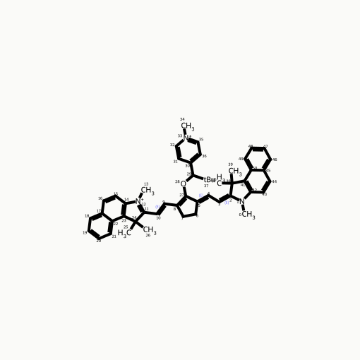 CN1/C(=C/C=C2\CCC(/C=C/C3=[N+](C)c4ccc5ccccc5c4C3(C)C)=C2OC(c2cc[n+](C)cc2)C(C)(C)C)C(C)(C)c2c1ccc1ccccc21